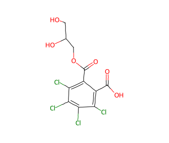 O=C(O)c1c(Cl)c(Cl)c(Cl)c(Cl)c1C(=O)OCC(O)CO